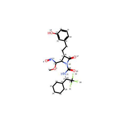 COC(N=O)C1[C@@H](CCc2cccc(O)c2)C(=O)N1C(=O)N[C@@H](C1CCCCC1)C(F)(F)F